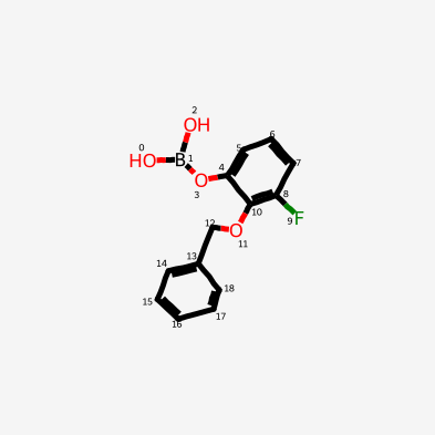 OB(O)Oc1cccc(F)c1OCc1ccccc1